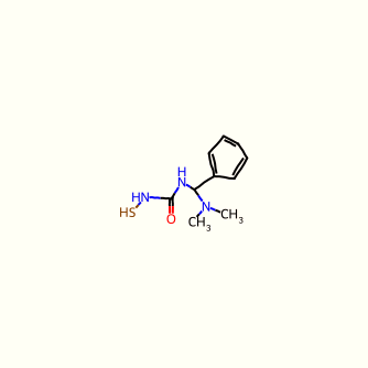 CN(C)C(NC(=O)NS)c1ccccc1